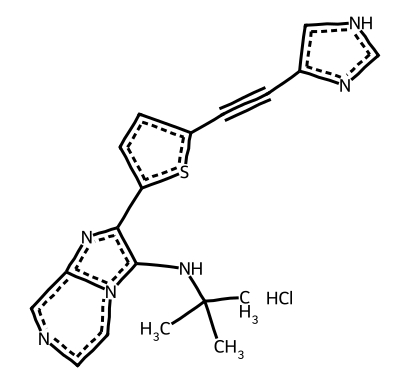 CC(C)(C)Nc1c(-c2ccc(C#Cc3c[nH]cn3)s2)nc2cnccn12.Cl